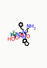 NCCC[C@@H](C(=O)Nc1ccc2c(c1)CCC2)N(CCc1ccccc1)C(=O)CN.O=C(O)C(F)(F)F